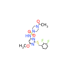 COc1cc(NS(=O)(=O)N2CCN(C(C)=O)CC2)nc(SCc2cccc(F)c2F)n1